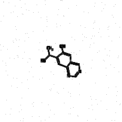 CC(S)c1cc2ncncc2cc1O